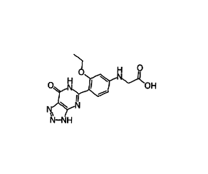 CCOc1cc(NCC(=O)O)ccc1-c1nc2[nH]nnc2c(=O)[nH]1